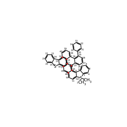 CS1(C)c2ccccc2-c2c(N(c3ccc4c(c3)sc3ccccc34)c3cccc(-c4ccccc4)c3-c3ccccc3-c3ccccc3)cccc21